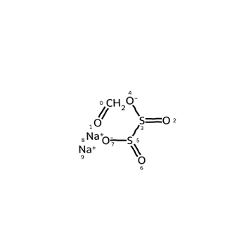 C=O.O=S([O-])S(=O)[O-].[Na+].[Na+]